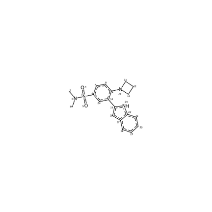 CN(C)S(=O)(=O)c1ccc(N2CCC2)c(-c2cc3ccccc3[nH]2)c1